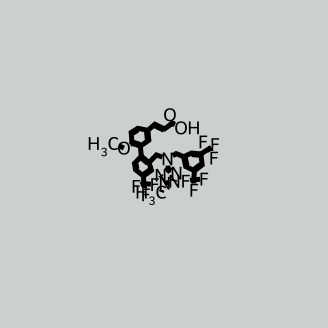 COc1ccc(C=CC(=O)O)cc1-c1ccc(C(F)(F)F)cc1CN(Cc1cc(C(F)(F)F)cc(C(F)(F)F)c1)c1nnn(C)n1